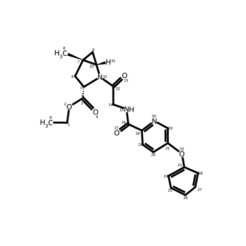 CCOC(=O)[C@@H]1C[C@]2(C)C[C@@H]2N1C(=O)CNC(=O)c1ccc(Oc2ccccc2)cn1